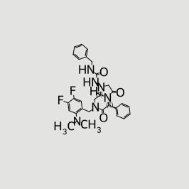 CN(C)c1cc(F)c(F)cc1CN1C[C@@H]2N(NC(=O)NCc3ccccc3)CC(=O)N2[C@@H](c2ccccc2)C1=O